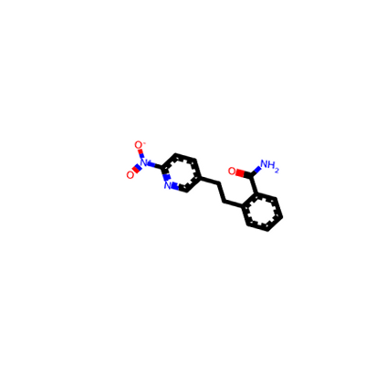 NC(=O)c1ccccc1CCc1ccc([N+](=O)[O-])nc1